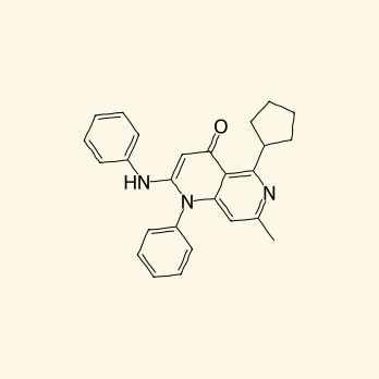 Cc1cc2c(c(C3CCCC3)n1)c(=O)cc(Nc1ccccc1)n2-c1ccccc1